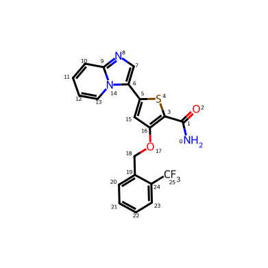 NC(=O)c1sc(-c2cnc3ccccn23)cc1OCc1ccccc1C(F)(F)F